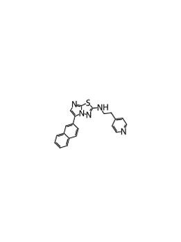 c1ccc2cc(-c3cnc4sc(NCCc5ccncc5)nn34)ccc2c1